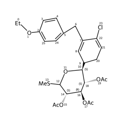 CCOc1ccc(CC2=CC([C@@H]3OC(SC)[C@@H](OC(C)=O)[C@H](OC(C)=O)[C@H]3OC(C)=O)CC=C2Cl)cc1